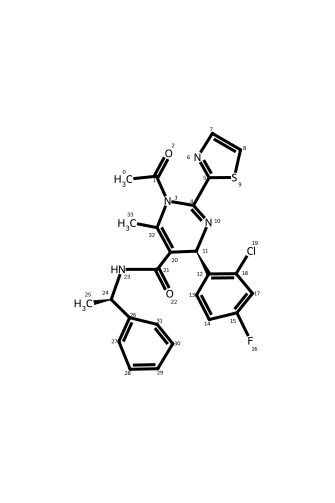 CC(=O)N1C(c2nccs2)=N[C@@H](c2ccc(F)cc2Cl)C(C(=O)N[C@H](C)c2ccccc2)=C1C